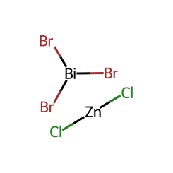 [Br][Bi]([Br])[Br].[Cl][Zn][Cl]